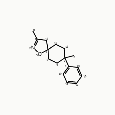 CC1=NOC2(CCC(C)(c3ccccc3)CC2)C1